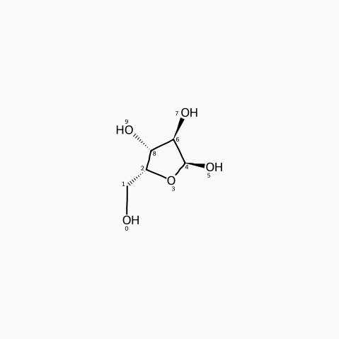 OC[C@H]1O[C@H](O)[C@H](O)[C@H]1O